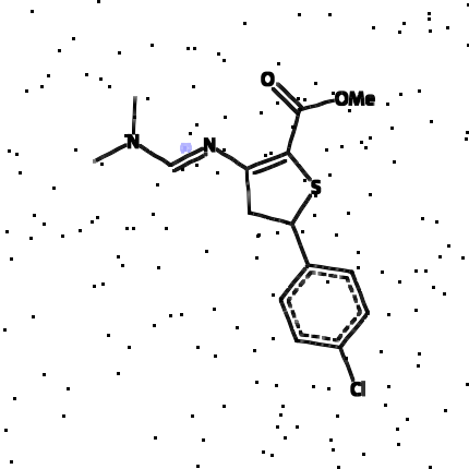 COC(=O)C1=C(/N=C/N(C)C)CC(c2ccc(Cl)cc2)S1